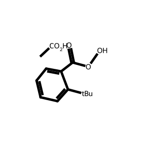 CC(=O)O.CC(C)(C)c1ccccc1C(=O)OO